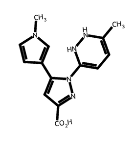 CC1=CC=C(n2nc(C(=O)O)cc2-c2ccn(C)c2)NN1